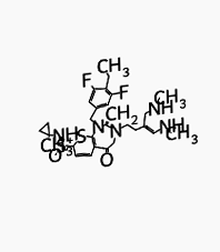 C=C1N(CC/C(=C/NC)CNC)CC(=O)C2=C(SC([S+]([O-])NC3(C)CC3)C=C2)N1Cc1cc(F)c(CC)c(F)c1